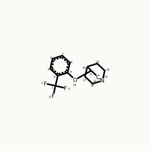 FC(F)(F)c1ccccc1OC1CN2CCC1CC2